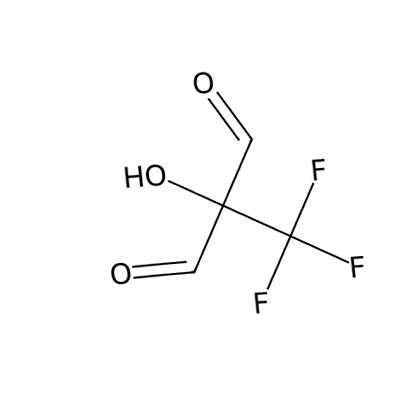 O=CC(O)(C=O)C(F)(F)F